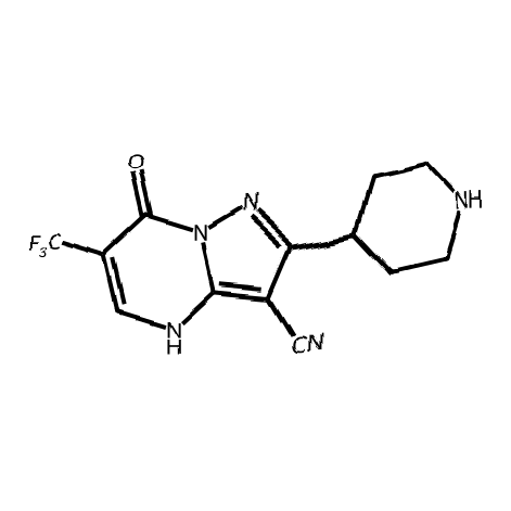 N#Cc1c(C2CCNCC2)nn2c(=O)c(C(F)(F)F)c[nH]c12